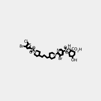 O=C(O)C1(NS(=O)(=O)c2cnc(N3CCC(CCCC4CCN(S(=O)(=O)c5cc(Br)c(Cl)s5)CC4)CC3)c(Br)c2)CCC(O)CC1